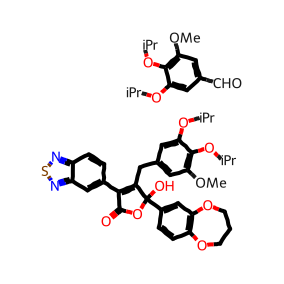 COc1cc(C=O)cc(OC(C)C)c1OC(C)C.COc1cc(CC2=C(c3ccc4nsnc4c3)C(=O)OC2(O)c2ccc3c(c2)OCCCO3)cc(OC(C)C)c1OC(C)C